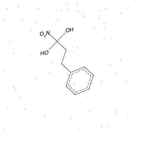 O=[N+]([O-])C(O)(O)CCc1ccccc1